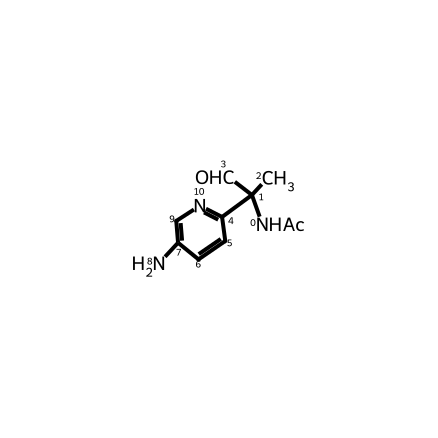 CC(=O)NC(C)(C=O)c1ccc(N)cn1